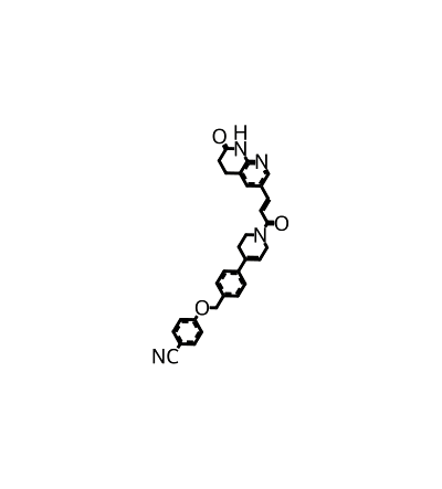 N#Cc1ccc(OCc2ccc(C3=CCN(C(=O)C=Cc4cnc5c(c4)CCC(=O)N5)CC3)cc2)cc1